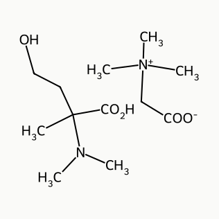 CN(C)C(C)(CCO)C(=O)O.C[N+](C)(C)CC(=O)[O-]